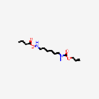 C=CCOC(=O)NCCCCCCNOC(=O)CCC